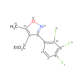 CCOC(=O)c1c(-c2ccc(F)c(F)c2F)noc1C